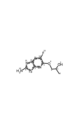 CC(O)COc1nc2sc(N)nc2cc1F